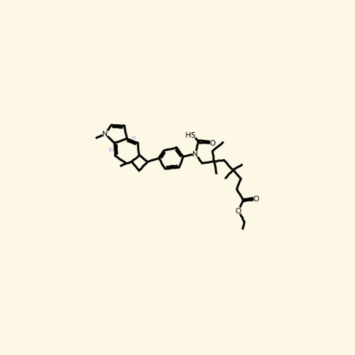 C/C=c1\c(=C/C2C(C)CC2c2ccc(N(CC(C)(CC)CC(C)(C)CCC(=O)OCC)C(=O)S)cc2)ccn1C